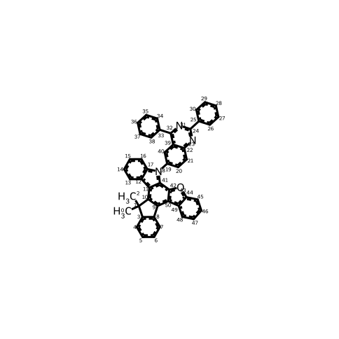 CC1(C)c2ccccc2-c2c1c1c3ccccc3n(-c3ccc4nc(-c5ccccc5)nc(-c5ccccc5)c4c3)c1c1oc3ccccc3c21